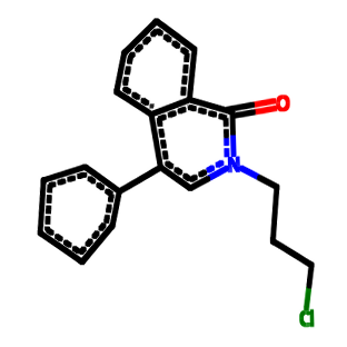 O=c1c2ccccc2c(-c2ccccc2)cn1CCCCl